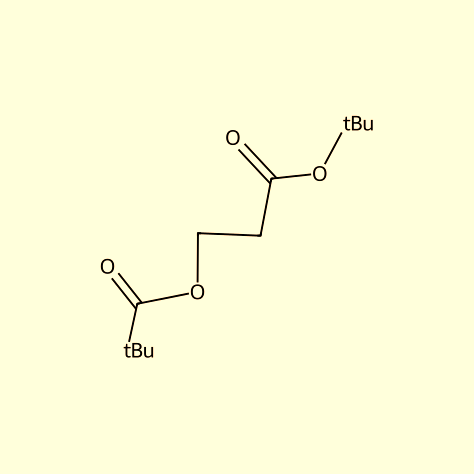 CC(C)(C)OC(=O)CCOC(=O)C(C)(C)C